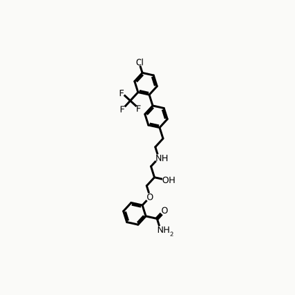 NC(=O)c1ccccc1OCC(O)CNCCc1ccc(-c2ccc(Cl)cc2C(F)(F)F)cc1